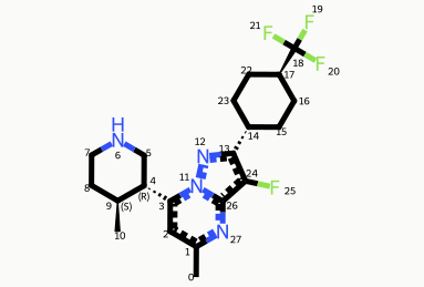 Cc1cc([C@H]2CNCC[C@@H]2C)n2nc([C@H]3CC[C@H](C(F)(F)F)CC3)c(F)c2n1